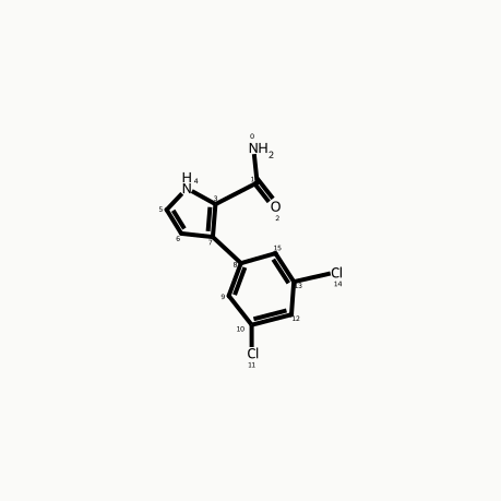 NC(=O)c1[nH]ccc1-c1cc(Cl)cc(Cl)c1